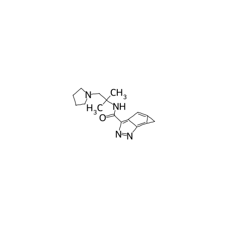 CC(C)(CN1CCCC1)NC(=O)C1=C2C=C3CC3=C2N=N1